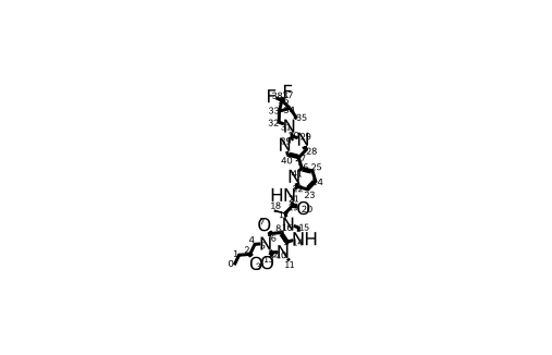 CCC(=O)Cn1c(=O)c2c(n(C)c1=O)NCN2[C@@H](C)C(=O)Nc1cccc(-c2cnc(N3CC4C(C3)C4(F)F)nc2)n1